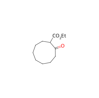 CCOC(=O)C1CCCCCCCC1=O